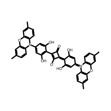 Cc1ccc2c(c1)Oc1cc(C)ccc1N2c1cc(O)c(C2=C([O-])C(=C3C(O)=CC(=[N+]4c5ccc(C)cc5Oc5cc(C)ccc54)C=C3O)C2=O)c(O)c1